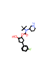 CC(C)(C)N(C(=O)OC1CC(c2cccc(F)c2)CC1O)C1CCCNC1